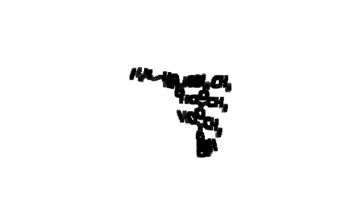 CC(=O)O.CC(=O)O.CC(=O)O.CC(=O)O.NCCN.[Cu].[NaH].[NaH]